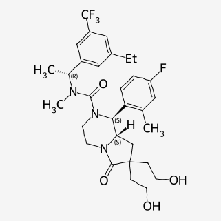 CCc1cc([C@@H](C)N(C)C(=O)N2CCN3C(=O)C(CCO)(CCO)C[C@H]3[C@@H]2c2ccc(F)cc2C)cc(C(F)(F)F)c1